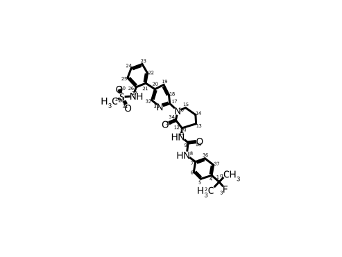 CC(C)(F)c1ccc(NC(=O)N[C@@H]2CCCN(c3ccc(-c4ccccc4NS(C)(=O)=O)cn3)C2=O)cc1